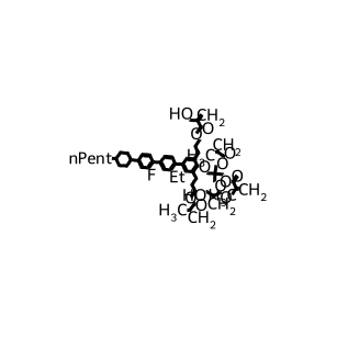 C=C(C)C(=O)OCCCc1cc(-c2ccc(-c3ccc(C4CCC(CCCCC)CC4)cc3F)cc2CC)cc(CCCOC(=O)C(=C)CO)c1OCC(COC(=O)C(=C)C)(COC(=O)C(=C)C)COC(=O)C(=C)CO